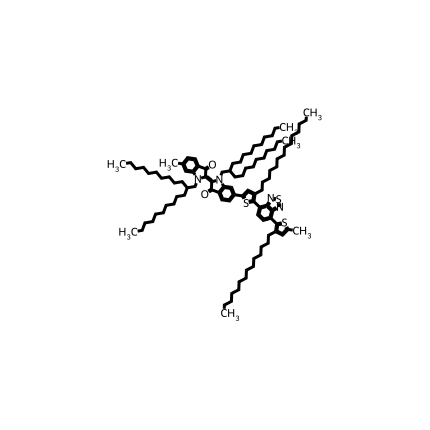 CCCCCCCCCCCCCCc1cc(C)sc1-c1ccc(-c2sc(-c3ccc4c(c3)N(CC(CCCCCCCCCC)CCCCCCCCCC)/C(=C3\C(=O)c5ccc(C)cc5N3CC(CCCCCCCCCC)CCCCCCCCCC)C4=O)cc2CCCCCCCCCCCCCC)c2nsnc12